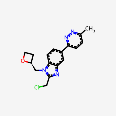 Cc1ccc(-c2ccc3c(c2)nc(CCl)n3C[C@@H]2CCO2)nn1